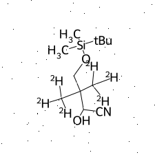 [2H]C([2H])([2H])C(CO[Si](C)(C)C(C)(C)C)(C(O)C#N)C([2H])([2H])[2H]